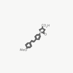 COc1ccc(/C=C/c2ccc(N3CC(C(=O)O)CC3=O)cc2)cc1